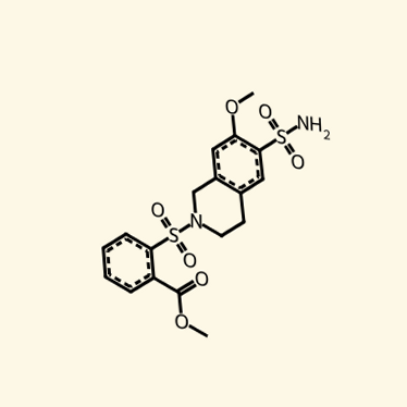 COC(=O)c1ccccc1S(=O)(=O)N1CCc2cc(S(N)(=O)=O)c(OC)cc2C1